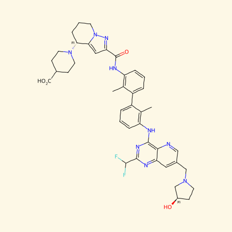 Cc1c(NC(=O)c2cc3n(n2)CCC[C@H]3N2CCC(C(=O)O)CC2)cccc1-c1cccc(Nc2nc(C(F)F)nc3cc(CN4CC[C@@H](O)C4)cnc23)c1C